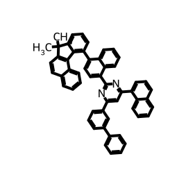 CC1(C)c2cccc(-c3ccc(-c4nc(-c5cccc(-c6ccccc6)c5)cc(-c5cccc6ccccc56)n4)c4ccccc34)c2-c2c1ccc1ccccc21